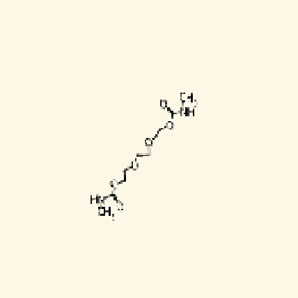 CNC(=O)OCCOCCOCCOC(=O)NC